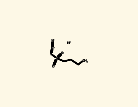 CCCCS(=O)(=O)N=[N+]=[N-].F